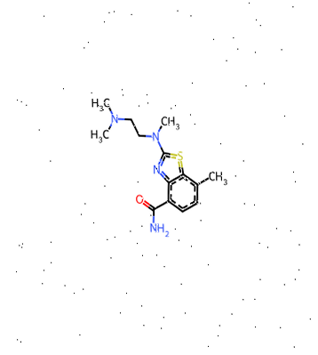 Cc1[c]cc(C(N)=O)c2nc(N(C)CCN(C)C)sc12